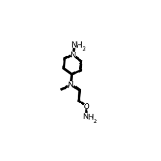 CN(CCON)C1CCN(N)CC1